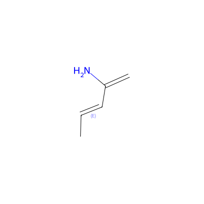 C=C(N)/C=C/C